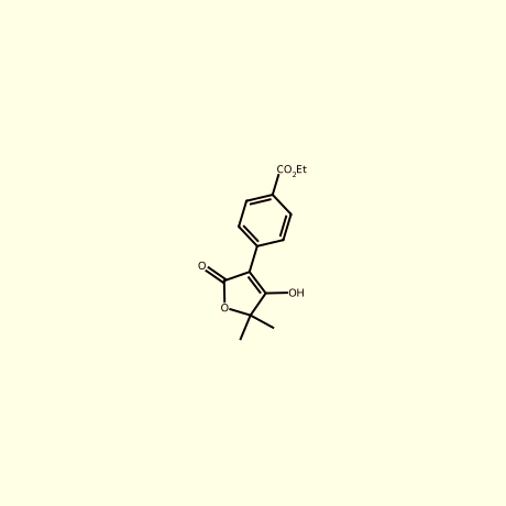 CCOC(=O)c1ccc(C2=C(O)C(C)(C)OC2=O)cc1